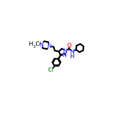 CN1CCN(CCC2CN(C(=O)NC3CCCCC3)N=C2c2ccc(Cl)cc2)CC1